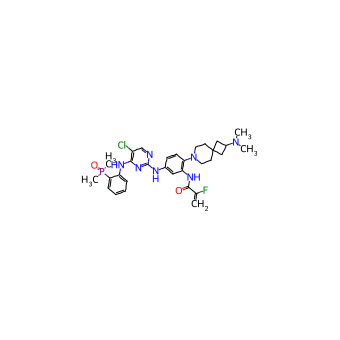 C=C(F)C(=O)Nc1cc(Nc2ncc(Cl)c(Nc3ccccc3P(C)(C)=O)n2)ccc1N1CCC2(CC1)CC(N(C)C)C2